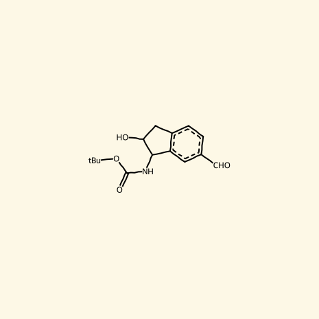 CC(C)(C)OC(=O)NC1c2cc(C=O)ccc2CC1O